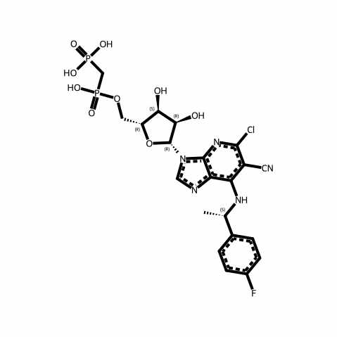 C[C@H](Nc1c(C#N)c(Cl)nc2c1ncn2[C@@H]1O[C@H](COP(=O)(O)CP(=O)(O)O)[C@@H](O)[C@H]1O)c1ccc(F)cc1